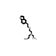 CCN(CCO)CCOCCc1ccc2sccc2c1